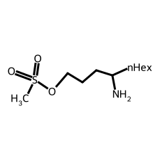 CCCCCCC(N)CCCOS(C)(=O)=O